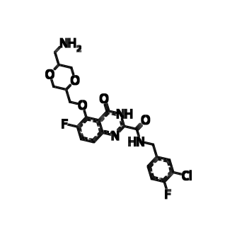 NCC1COC(COc2c(F)ccc3nc(C(=O)NCc4ccc(F)c(Cl)c4)[nH]c(=O)c23)CO1